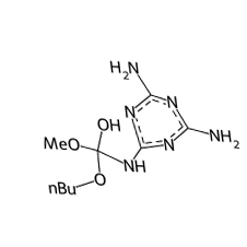 CCCCOC(O)(Nc1nc(N)nc(N)n1)OC